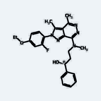 CCOc1ccc(-n2nc3c(N(C)CC[C@@H](O)c4ccccc4)nnc(C)c3c2C)c(F)c1